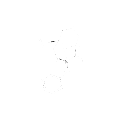 C=C[C@H]1CN(Cc2ccccn2)C(=O)C2CCC[C@@H]1N2[SH](=O)=O